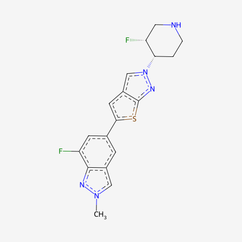 Cn1cc2cc(-c3cc4cn([C@H]5CCNC[C@H]5F)nc4s3)cc(F)c2n1